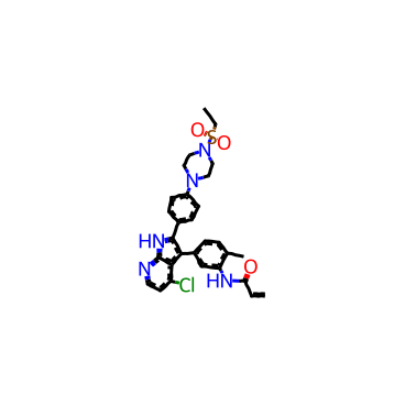 C=CC(=O)Nc1cc(-c2c(-c3ccc(N4CCN(S(=O)(=O)CC)CC4)cc3)[nH]c3nccc(Cl)c23)ccc1C